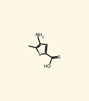 Cc1sc(C(O)=S)cc1N